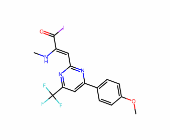 CN/C(=C\c1nc(-c2ccc(OC)cc2)cc(C(F)(F)F)n1)C(=O)I